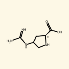 N=C(N)NC1CN[C@H](C(=O)O)C1